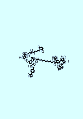 Cc1ncsc1-c1ccc(CNC(=O)[C@@H]2C[C@@H](OCOP(=O)(O)OP(=O)(O)OCCNC(=O)CCCCCN3C(=O)C=CC3=O)CN2C(=O)[C@@H](NC(=O)CCCCCCCCCCNC(=O)c2cc3c(cc2CS(C)(=O)=O)-c2cn(C)c(=O)c4[nH]cc(c24)CN3c2ncc(F)cc2F)C(C)(C)C)cc1